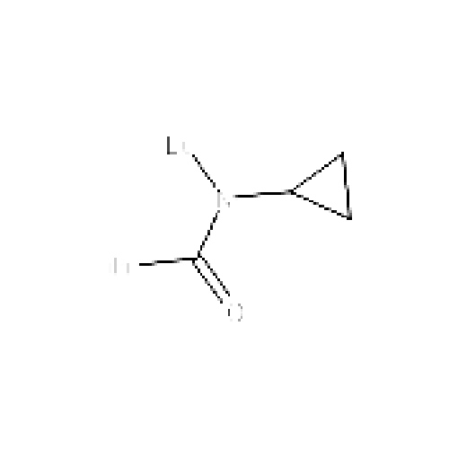 [CH2]CN(C(=O)C(C)C)C1CC1